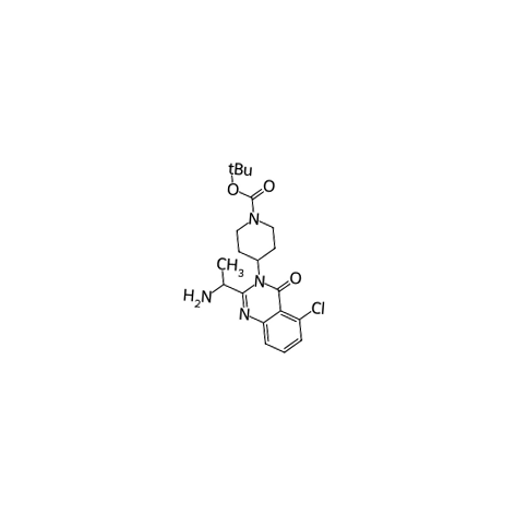 CC(N)c1nc2cccc(Cl)c2c(=O)n1C1CCN(C(=O)OC(C)(C)C)CC1